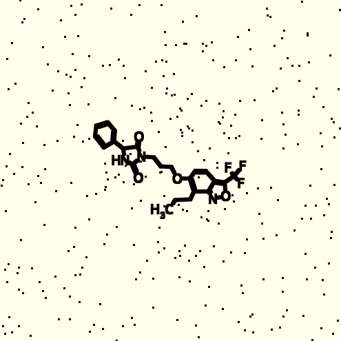 CCCc1c(OCCCN2C(=O)NC(c3ccccc3)C2=O)ccc2c(C(F)(F)F)onc12